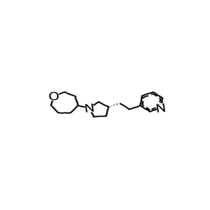 c1cncc(CC[C@@H]2CCN(C3CCCOCC3)C2)c1